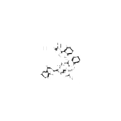 CC(C)(C)NC(=O)c1ccccc1OC[C@@H](N)[C@H](Cc1ccccc1)NC(=O)[C@H](CC(N)=O)NC(=O)c1ccc2ccccc2n1